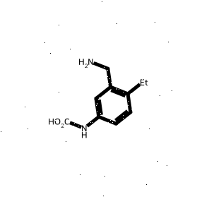 CCc1ccc(NC(=O)O)cc1CN